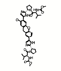 COC(=O)N[C@H](C(=O)N1CCC[C@H]1c1ncc(-c2ccc3c(c2)Cc2cc(Cl)c(-c4cnc([C@@H]5CCCN5C(=O)[C@@H](NC(=O)OC)C(C)C)[nH]4)cc2O3)[nH]1)C(C)C